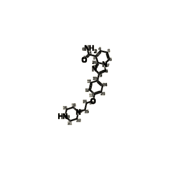 NC(=O)c1cccn2cc(-c3ccc(OCCN4CCNCC4)cc3)nc12